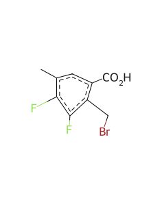 Cc1cc(C(=O)O)c(CBr)c(F)c1F